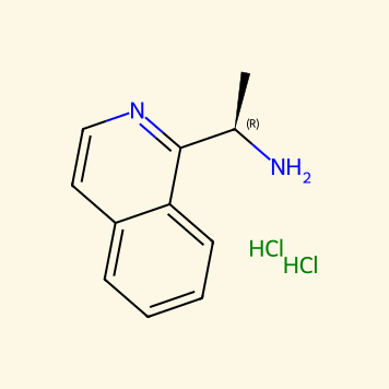 C[C@@H](N)c1nccc2ccccc12.Cl.Cl